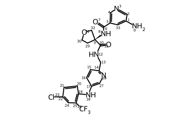 Nc1cncc(C(=O)N[C@@]2(C(=O)NCc3ccc(Nc4ccc(Cl)cc4C(F)(F)F)cn3)CCOC2)c1